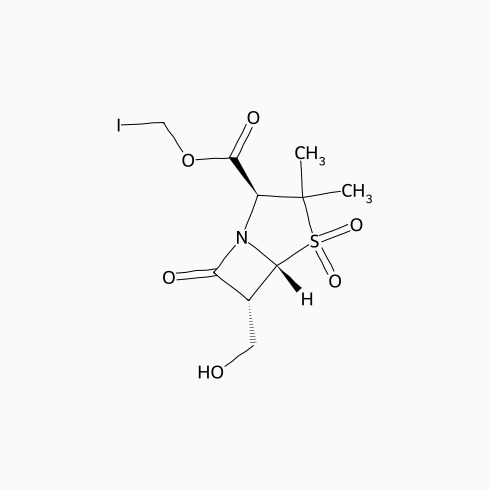 CC1(C)[C@H](C(=O)OCI)N2C(=O)[C@@H](CO)[C@H]2S1(=O)=O